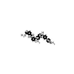 Cc1ccc(NC(=O)c2ccc3occ(C)c3c2)cc1N1CCc2nc(Nc3ccc(N4CCN(C)CC4)cc3)ncc2C1